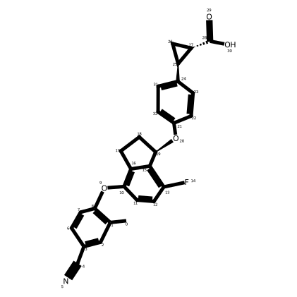 Cc1cc(C#N)ccc1Oc1ccc(F)c2c1CC[C@H]2Oc1ccc([C@H]2C[C@@H]2C(=O)O)cc1